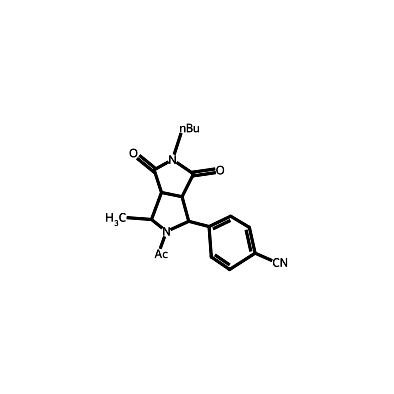 CCCCN1C(=O)C2C(C1=O)C(c1ccc(C#N)cc1)N(C(C)=O)C2C